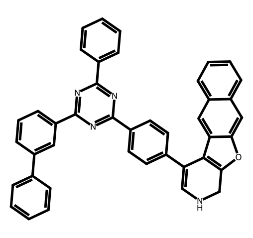 C1=C(c2ccc(-c3nc(-c4ccccc4)nc(-c4cccc(-c5ccccc5)c4)n3)cc2)c2c(oc3cc4ccccc4cc23)CN1